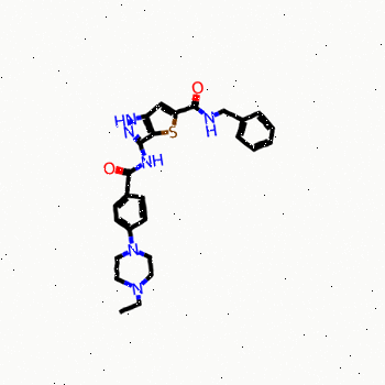 CCN1CCN(c2ccc(C(=O)Nc3n[nH]c4cc(C(=O)NCc5ccccc5)sc34)cc2)CC1